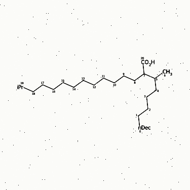 CCCCCCCCCCCCCCC(C)C(CCCCCCCCCCCC(C)C)C(=O)O